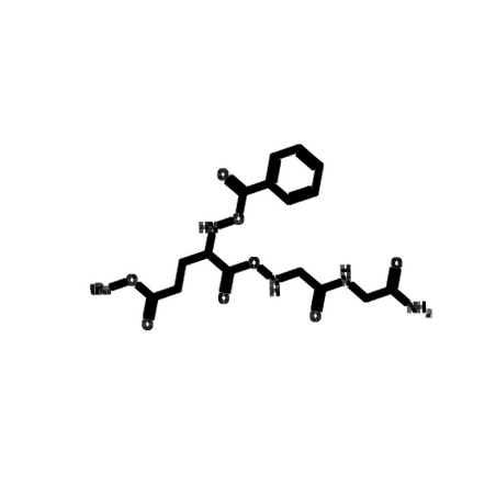 CC(C)(C)OC(=O)CCC(NOC(=O)c1ccccc1)C(=O)ONCC(=O)NCC(N)=O